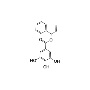 C=CC(OC(=O)c1cc(O)c(O)c(O)c1)c1ccccc1